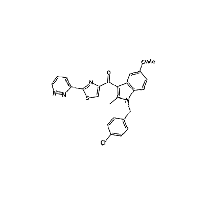 COc1ccc2c(c1)c(C(=O)c1csc(-c3cccnn3)n1)c(C)n2Cc1ccc(Cl)cc1